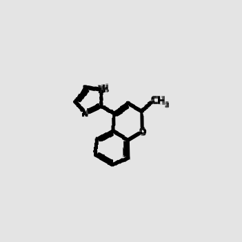 CC1C=C(c2ncc[nH]2)c2ccccc2O1